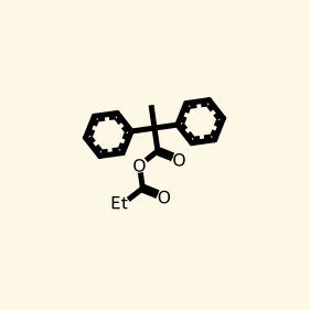 CCC(=O)OC(=O)C(C)(c1ccccc1)c1ccccc1